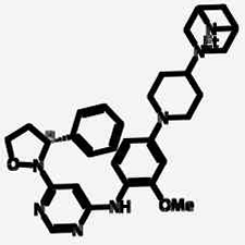 CCN1C2CC1CN(C1CCN(c3ccc(Nc4cc(N5OCC[C@@H]5c5ccccc5)ncn4)c(OC)c3)CC1)C2